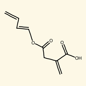 C=CC=COC(=O)CC(=C)C(=O)O